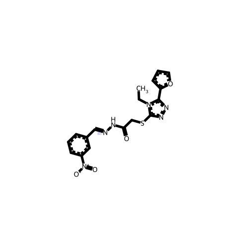 CCn1c(SCC(=O)N/N=C/c2cccc([N+](=O)[O-])c2)nnc1-c1ccco1